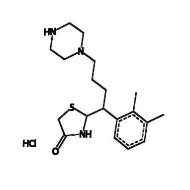 Cc1cccc(C(CCCN2CCNCC2)C2NC(=O)CS2)c1C.Cl